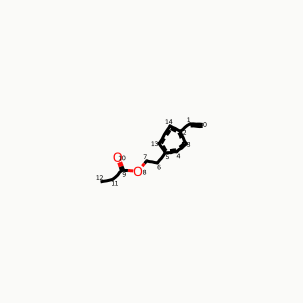 C=Cc1ccc(CCOC(=O)CC)cc1